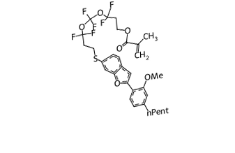 C=C(C)C(=O)OCCC(F)(F)OC(F)(F)OC(F)(F)CCSc1ccc2cc(-c3ccc(CCCCC)cc3OC)oc2c1